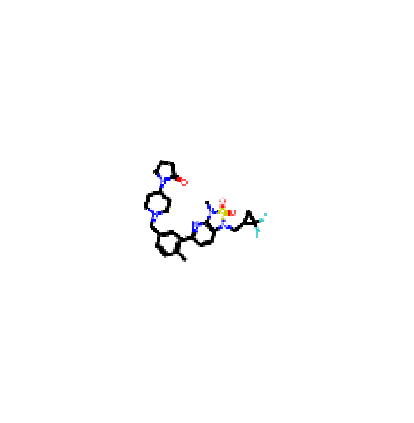 Cc1ccc(CN2CCC(N3CCCC3=O)CC2)cc1-c1ccc2c(n1)N(C)S(=O)(=O)N2CC1CC1(F)F